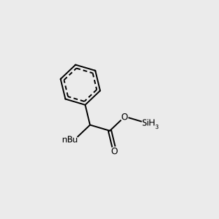 CCCCC(C(=O)O[SiH3])c1ccccc1